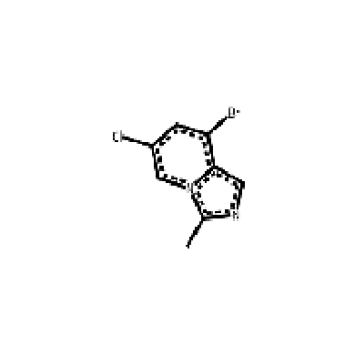 Cc1ncc2c(Br)cc(Cl)cn12